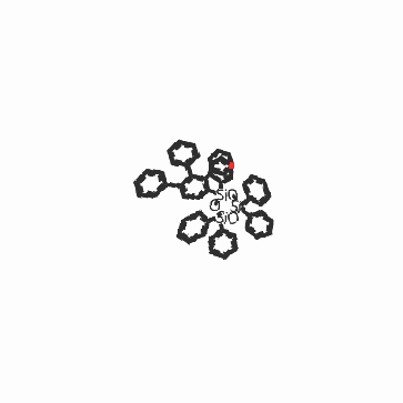 c1ccc(-c2ccc([Si]3(c4ccccc4)O[Si](c4ccccc4)(c4ccccc4)O[Si](c4ccccc4)(c4ccccc4)O3)c(-c3ccccc3)c2-c2ccccc2)cc1